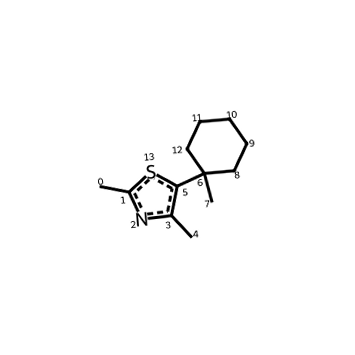 Cc1nc(C)c(C2(C)CCCCC2)s1